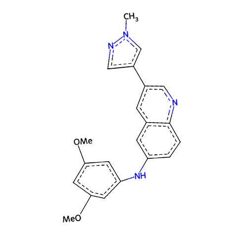 COc1cc(Nc2ccc3ncc(-c4cnn(C)c4)cc3c2)cc(OC)c1